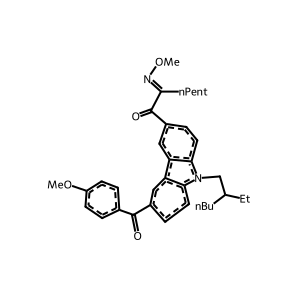 CCCCC/C(=N\OC)C(=O)c1ccc2c(c1)c1cc(C(=O)c3ccc(OC)cc3)ccc1n2CC(CC)CCCC